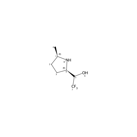 C[C@@H]1CC[C@H](C(O)C(F)(F)F)N1